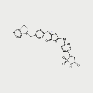 O=C1CN(c2ccc(NC3=NC(=O)/C(=C\c4ccc(CN5CCc6ccccc65)cc4)S3)cc2)S(=O)(=O)N1